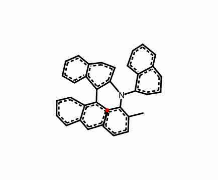 Cc1ccccc1N(c1ccc2ccccc2c1-c1cccc2ccccc12)c1cccc2ccccc12